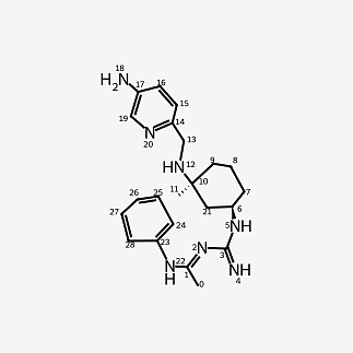 C/C(=N\C(=N)N[C@@H]1CCC[C@](C)(NCc2ccc(N)cn2)C1)Nc1ccccc1